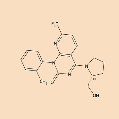 Cc1ccccc1-n1c(=O)nc(N2CCC[C@@H]2CO)c2ccc(C(F)(F)F)nc21